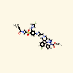 CC#CC(=O)N1CC(S(=O)(=O)c2ccc(N3CC(CN4CCC(C(c5cccc(F)c5)([C@H]5CCC[C@@H]5NC(=O)OC)N5CCC5)CC4)C3)cc2CN2CC(F)C2)C1